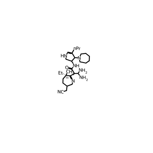 CCCC1=CNCC(NC(=O)C(C2=NCC(CC#N)CC[C@]2(C)CC)C(N)N)C1N1CCCCCC1